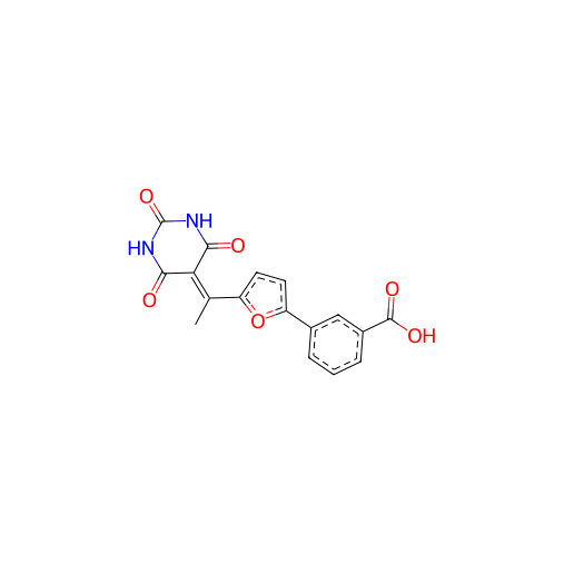 CC(=C1C(=O)NC(=O)NC1=O)c1ccc(-c2cccc(C(=O)O)c2)o1